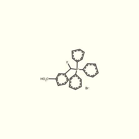 O=C(O)c1cccc(C(F)[P+](c2ccccc2)(c2ccccc2)c2ccccc2)c1.[Br-]